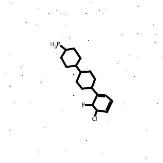 FC1C(C2CCC(C3CCC(P)CC3)CC2)=CC=CC1Cl